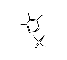 Cc1ccc[n+](C)c1C.O=S(=O)([O-])O